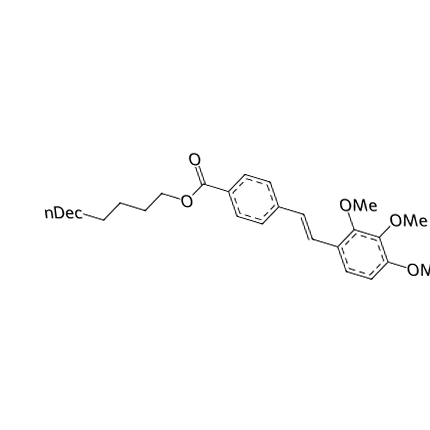 CCCCCCCCCCCCCCOC(=O)c1ccc(C=Cc2ccc(OC)c(OC)c2OC)cc1